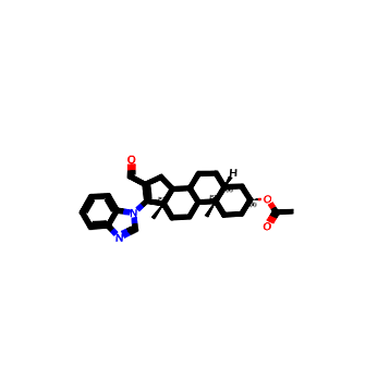 CC(=O)O[C@@H]1CC[C@]2(C)C3CC[C@]4(C)C(n5cnc6ccccc65)=C(C=O)CC4C3CC[C@@H]2C1